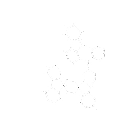 c1ccc(N(c2ccc3c(c2)C2(CCC4(CC2)c2ccccc2-c2ccccc24)c2ccccc2-3)c2cccc3c2oc2ccccc23)cc1